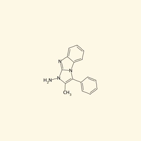 Cc1c(-c2ccccc2)n2c3ccccc3nc2n1N